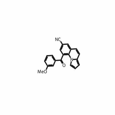 COc1cccc(C(=O)c2cc(C#N)cc3ccc4cccn4c23)c1